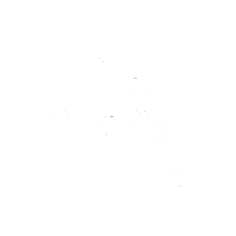 CC/C(=N\N(Cc1ccc(OCCN2CCCCCC2)cc1)c1ccc(OCc2ccccc2)cc1)c1ccc(OCc2ccccc2)cc1